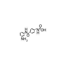 Nc1cccc(NC(=O)c2ccc(CNC(=O)O)cc2)c1